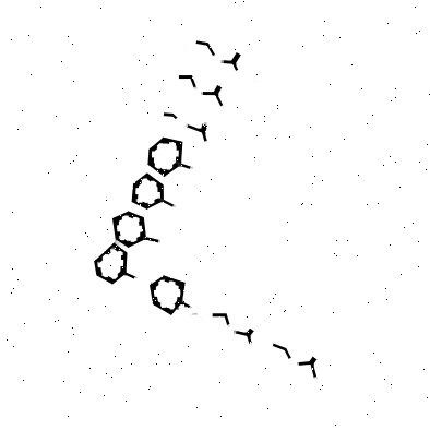 CCOC(C)=O.CCOC(C)=O.CCOC(C)=O.CCOC(C)=O.CCOC(C)=O.Cc1ccccc1.Cc1ccccc1.Cc1ccccc1.Cc1ccccc1.Cc1ccccc1